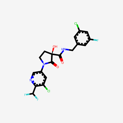 O=C(NCc1cc(F)cc(Cl)c1)[C@@]1(O)CCN(c2cnc(C(F)F)c(Cl)c2)C1=O